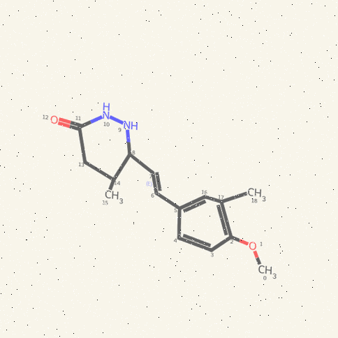 COc1ccc(/C=C/C2NNC(=O)CC2C)cc1C